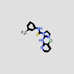 FC(F)(F)c1cccc(NC(=S)N2CCN=C2Nc2ncccc2Cl)c1